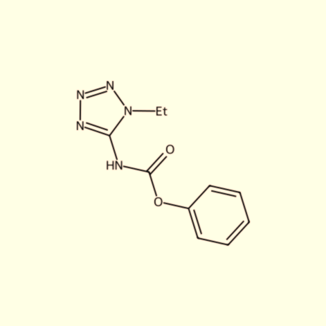 CCn1nnnc1NC(=O)Oc1ccccc1